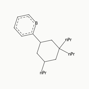 CCCC1CC(c2bcccc2)CC(CCC)(CCC)C1